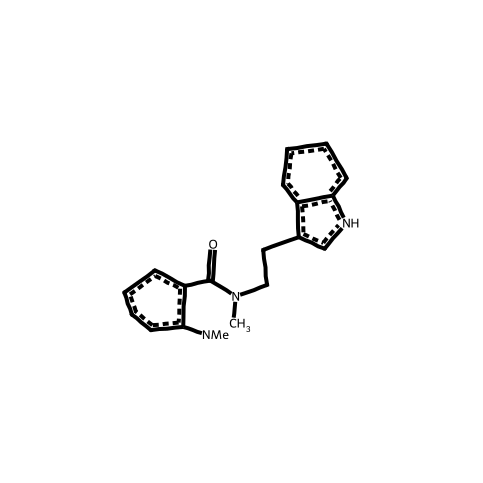 CNc1ccccc1C(=O)N(C)CCc1c[nH]c2ccccc12